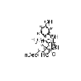 CCCCCCCCCCCCC(C)(CC(C)(C)c1ccc(O)cc1O)P(=O)(O)O